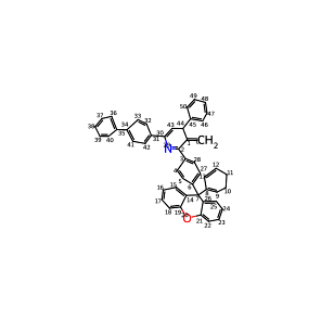 C=C1C(c2ccc(C3(C4=CCCC=C4)c4ccccc4Oc4ccccc43)cc2)=NC(c2ccc(-c3ccccc3)cc2)=CC1c1ccccc1